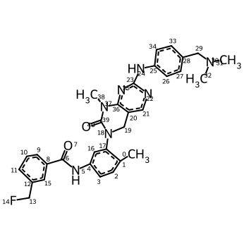 Cc1ccc(NC(=O)c2cccc(CF)c2)cc1N1Cc2cnc(Nc3ccc(CN(C)C)cc3)nc2N(C)C1=O